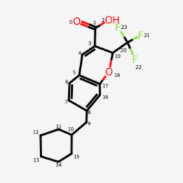 O=C(O)C1=Cc2ccc(CC3CCCCC3)cc2OC1C(F)(F)F